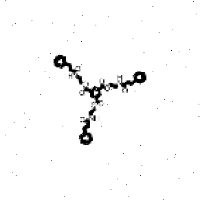 O=C(C=Cc1ccccc1)NCCOC(=O)c1cc(C(=O)OCCNC(=O)C=Cc2ccccc2)cc(C(=O)OCCNC(=O)C=Cc2ccccc2)c1